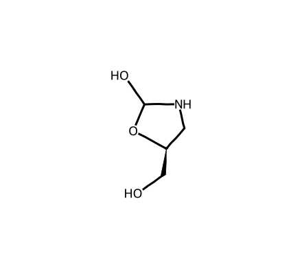 OC[C@@H]1CNC(O)O1